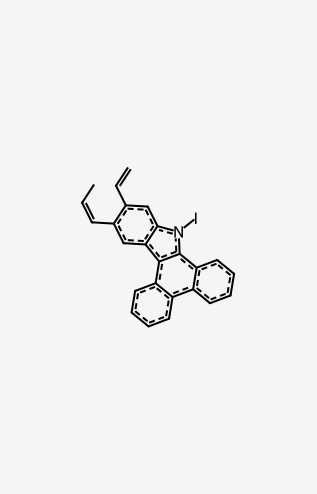 C=Cc1cc2c(cc1/C=C\C)c1c3ccccc3c3ccccc3c1n2I